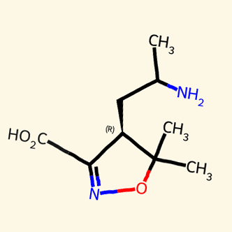 CC(N)C[C@@H]1C(C(=O)O)=NOC1(C)C